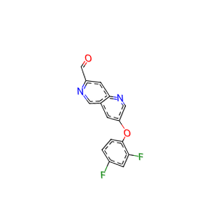 O=Cc1cc2ncc(Oc3ccc(F)cc3F)cc2cn1